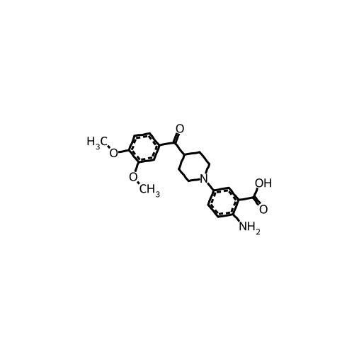 COc1ccc(C(=O)C2CCN(c3ccc(N)c(C(=O)O)c3)CC2)cc1OC